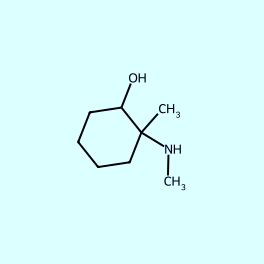 CNC1(C)CCCCC1O